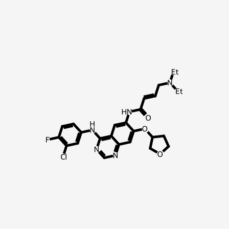 CCN(CC)CC=CC(=O)Nc1cc2c(Nc3ccc(F)c(Cl)c3)ncnc2cc1OC1CCOC1